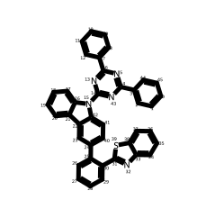 c1ccc(-c2nc(-c3ccccc3)nc(-n3c4ccccc4c4cc(-c5ccccc5-c5nc6ccccc6s5)ccc43)n2)cc1